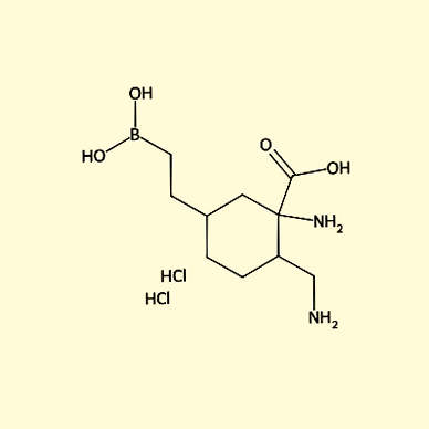 Cl.Cl.NCC1CCC(CCB(O)O)CC1(N)C(=O)O